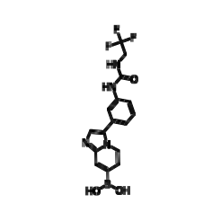 O=C(NCC(F)(F)F)Nc1cccc(-c2cnc3cc(B(O)O)ccn23)c1